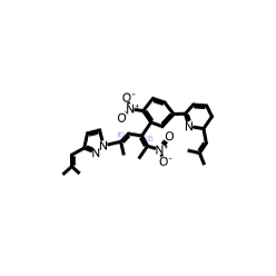 CC(C)=Cc1ccn(/C(C)=C/C(=C(\C)[N+](=O)[O-])c2cc(C3=NC(C=C(C)C)CC=C3)ccc2[N+](=O)[O-])n1